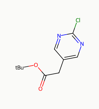 CC(C)(C)OC(=O)Cc1cnc(Cl)nc1